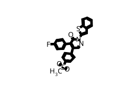 CS(=O)(=O)c1ccc(-c2cnn(-c3cc4ccccc4s3)c(=O)c2-c2ccc(F)cc2)cc1